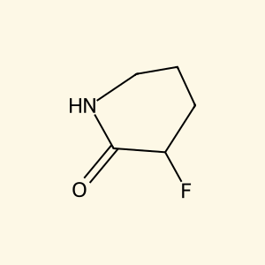 O=C1NCCCC1F